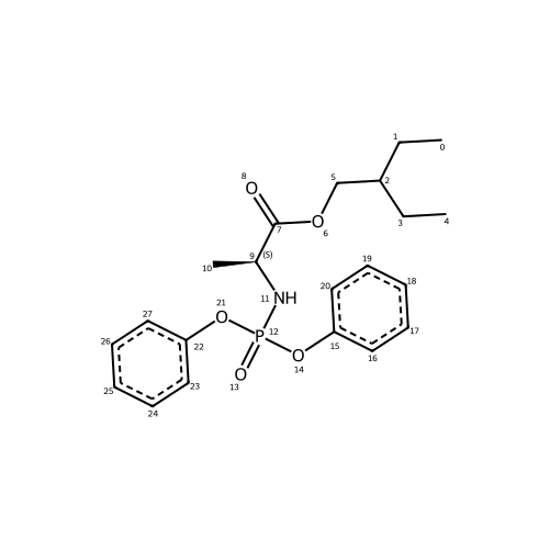 CCC(CC)COC(=O)[C@H](C)NP(=O)(Oc1ccccc1)Oc1ccccc1